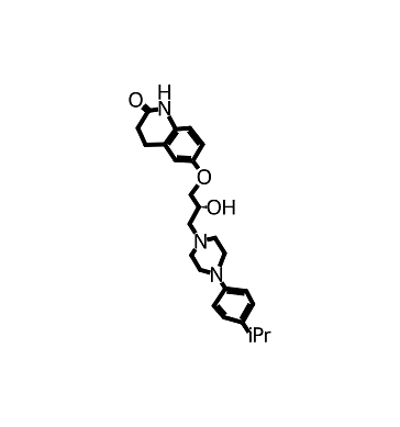 CC(C)c1ccc(N2CCN(C[C@@H](O)COc3ccc4c(c3)CCC(=O)N4)CC2)cc1